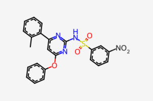 Cc1ccccc1-c1cc(Oc2ccccc2)nc(NS(=O)(=O)c2cccc([N+](=O)[O-])c2)n1